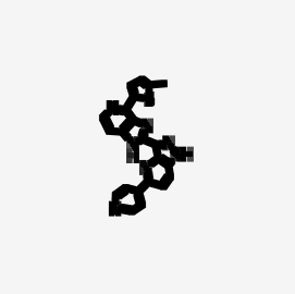 Cc1ccc(-c2nccc3[nH]c(-c4n[nH]c5ccc(-c6ccncc6)nc45)nc23)s1